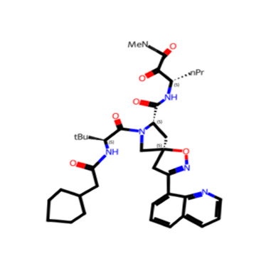 CCC[C@H](NC(=O)[C@@H]1C[C@]2(CC(c3cccc4cccnc34)=NO2)CN1C(=O)[C@@H](NC(=O)CC1CCCCC1)C(C)(C)C)C(=O)C(=O)NC